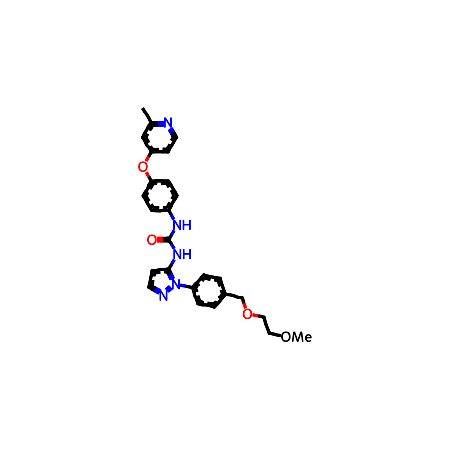 COCCOCc1ccc(-n2nccc2NC(=O)Nc2ccc(Oc3ccnc(C)c3)cc2)cc1